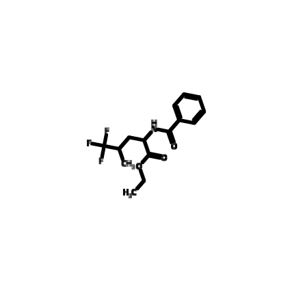 CCOC(=O)C(CC(C)C(F)(F)F)NC(=O)c1ccccc1